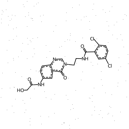 O=C(CO)Nc1ccc2ncn(CCNC(=O)c3cc(Cl)ccc3Cl)c(=O)c2c1